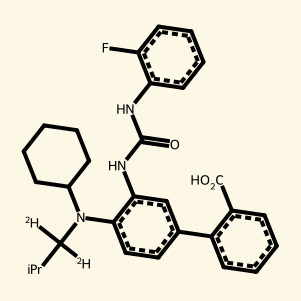 [2H]C([2H])(C(C)C)N(c1ccc(-c2ccccc2C(=O)O)cc1NC(=O)Nc1ccccc1F)C1CCCCC1